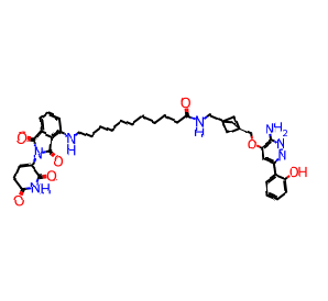 Nc1nnc(-c2ccccc2O)cc1OCC12CC(CNC(=O)CCCCCCCCCCNc3cccc4c3C(=O)N(C3CCC(=O)NC3=O)C4=O)(C1)C2